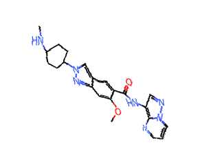 CNC1CCC(n2cc3cc(C(=O)Nc4cnn5cccnc45)c(OC)cc3n2)CC1